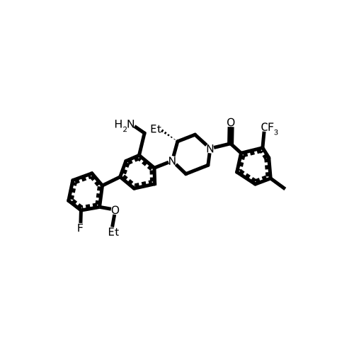 CCOc1c(F)cccc1-c1ccc(N2CCN(C(=O)c3ccc(C)cc3C(F)(F)F)C[C@H]2CC)c(CN)c1